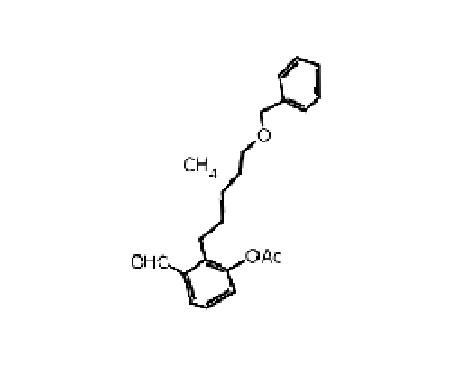 C.CC(=O)Oc1cccc(C=O)c1CCCCCOCc1ccccc1